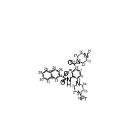 CC(C)N1CCN(c2ccc(C(=O)N3CCN(C)CC3)cc2NS(=O)(=O)c2ccc3ccccc3c2)CC1